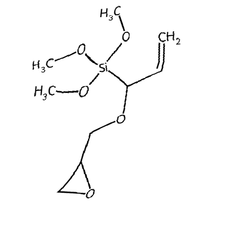 C=CC(OCC1CO1)[Si](OC)(OC)OC